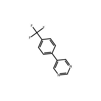 FC(F)(F)c1ccc(-c2cn[c]nc2)cc1